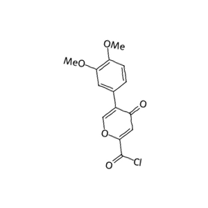 COc1ccc(-c2coc(C(=O)Cl)cc2=O)cc1OC